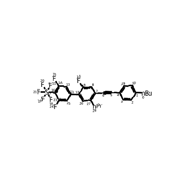 CCCCc1ccc(C#Cc2cc(F)c(-c3cc(F)c(S(F)(F)(F)(F)F)c(F)c3)cc2CCC)cc1